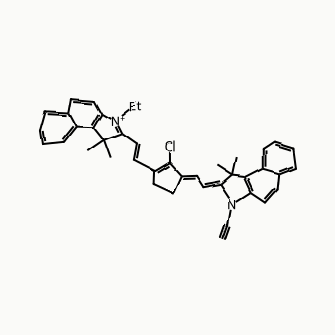 C#CN1C(=CC=C2CCC(C=CC3=[N+](CC)c4ccc5ccccc5c4C3(C)C)=C2Cl)C(C)(C)c2c1ccc1ccccc21